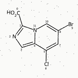 O=C(O)c1ncc2c(Cl)cc(Br)cn12